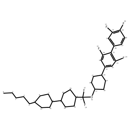 CCCCCC1CCC(C2CCC(C(F)(F)OC3CCC(c4cc(F)c(-c5ccc(F)c(F)c5)c(F)c4)CC3)CC2)CC1